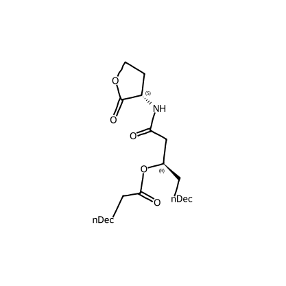 CCCCCCCCCCCC(=O)O[C@H](CCCCCCCCCCC)CC(=O)N[C@H]1CCOC1=O